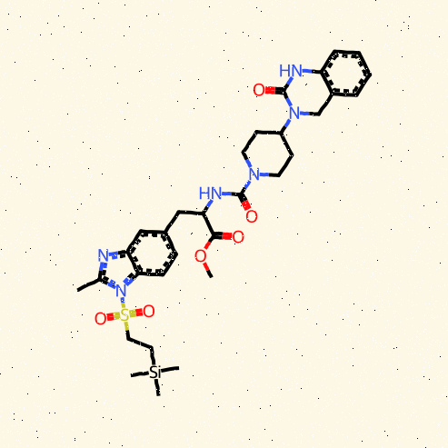 COC(=O)C(Cc1ccc2c(c1)nc(C)n2S(=O)(=O)CC[Si](C)(C)C)NC(=O)N1CCC(N2Cc3ccccc3NC2=O)CC1